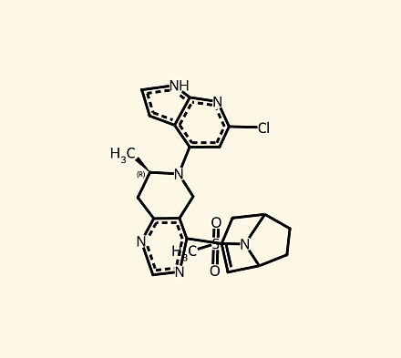 C[C@@H]1Cc2ncnc(C3=CC4CCC(C3)N4S(C)(=O)=O)c2CN1c1cc(Cl)nc2[nH]ccc12